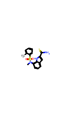 CN(c1cccc2cc(C(N)=S)[nH]c12)S(=O)(=O)c1ccccc1C(F)(F)F